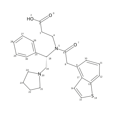 O=C(O)CCN(C(=O)Cc1cccc2sccc12)[C@H](CN1CCCC1)c1ccccc1